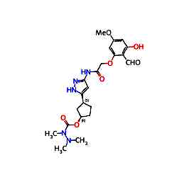 COc1cc(O)c(C=O)c(OCC(=O)Nc2cc([C@H]3CC[C@@H](OC(=O)N(C)N(C)C)C3)[nH]n2)c1